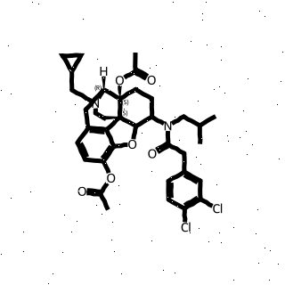 CC(=O)Oc1ccc2c3c1OC1C(N(CC(C)C)C(=O)Cc4ccc(Cl)c(Cl)c4)CC[C@@]4(OC(C)=O)[C@@H](C2)N(CC2CC2)CC[C@]314